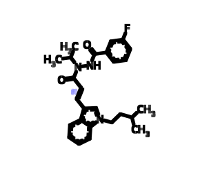 CC(C)CCn1cc(/C=C/C(=O)N(NC(=O)c2cccc(F)c2)C(C)C)c2ccccc21